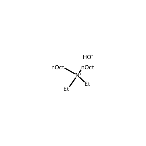 CCCCCCCC[N+](CC)(CC)CCCCCCCC.[OH-]